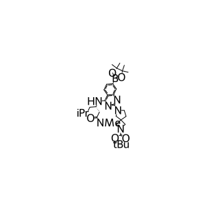 CNC(=O)C[C@H](CC(C)C)Nc1nc(N2CCC3(CN(C(=O)OC(C)(C)C)C3)C2)nc2cc(B3OC(C)(C)C(C)(C)O3)ccc12